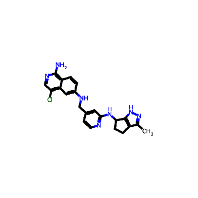 Cc1n[nH]c2c1CCC2Nc1cc(CNc2ccc3c(N)ncc(Cl)c3c2)ccn1